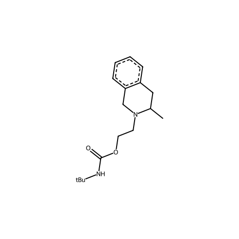 CC1Cc2ccccc2CN1CCOC(=O)NC(C)(C)C